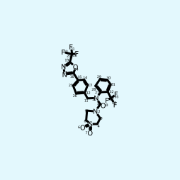 O=C(N1CCS(=O)(=O)CC1)N(Cc1ccc(-c2nnc(C(F)(F)F)o2)cc1)c1ccccc1C(F)(F)F